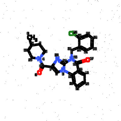 CC1CCN(C(=O)c2cn3c4ccccc4c(=O)n(Cc4ccccc4Cl)c3n2)CC1